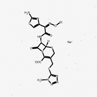 CCO/N=C(\C(=O)N[C@@H]1C(=O)N2C(C(=O)[O-])=C(CSc3nnnn3N)CS[C@@H]12)c1csc(N)n1.[Na+]